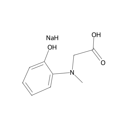 CN(CC(=O)O)c1ccccc1O.[NaH]